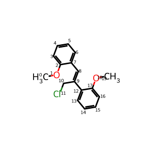 COc1ccccc1C=C(CCl)c1ccccc1OC